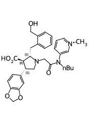 CCCCN(C(=O)CN1C[C@H](c2ccc3c(c2)OCO3)[C@@H](C(=O)O)[C@@H]1Cc1ccccc1CO)c1ccc[n+](C)c1